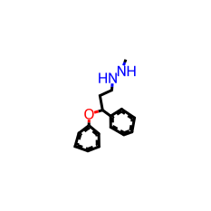 CNNCCC(Oc1ccccc1)c1ccccc1